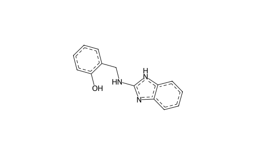 Oc1ccccc1CNc1nc2ccccc2[nH]1